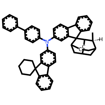 C[C@H]1C2CCC3CC(C2)CC1C31c2ccccc2-c2ccc(N(c3ccc(-c4ccccc4)cc3)c3ccc4c(c3)C3(CCCCC3)c3ccccc3-4)cc21